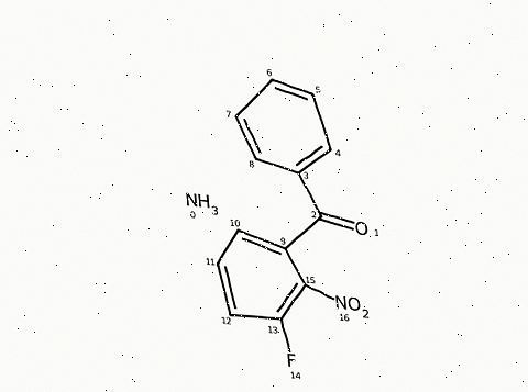 N.O=C(c1ccccc1)c1cccc(F)c1[N+](=O)[O-]